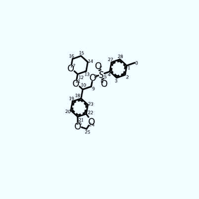 Cc1ccc(S(=O)(=O)OCC(OC2CCCCO2)c2ccc3c(c2)OCO3)cc1